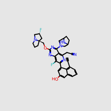 C#Cc1cccc2cc(O)cc(-c3nc(CC#N)c4c(N5CC6CCC(C5)N6)nc(OC[C@@]56CCCN5C[C@H](F)C6)nc4c3F)c12